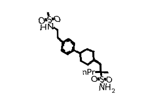 CCCC(C)(CC1CCC(c2ccc(CCNS(C)(=O)=O)cc2)CC1)S(N)(=O)=O